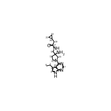 CCc1c[nH]c2ncnc(N3CC[C@](N)(CNC(=O)CC4CC4)C3)c12